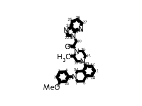 COc1cccc(N2CCc3cccc(N4CCN(C(=O)Cn5cnc6cccnc65)C(C)C4)c3C2)c1